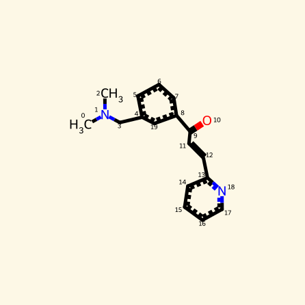 CN(C)Cc1cccc(C(=O)C=Cc2ccccn2)c1